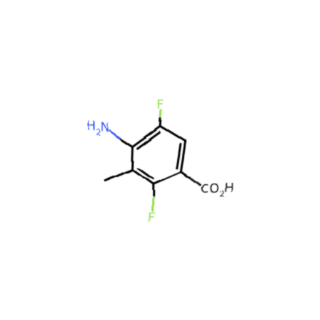 Cc1c(N)c(F)cc(C(=O)O)c1F